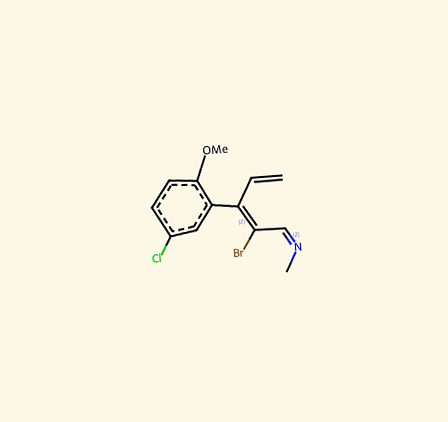 C=C/C(=C(Br)\C=N/C)c1cc(Cl)ccc1OC